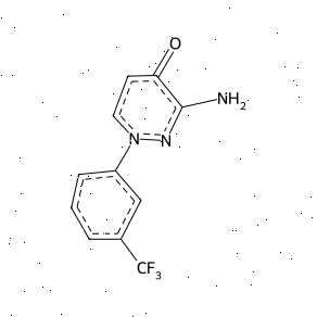 Nc1nn(-c2cccc(C(F)(F)F)c2)ccc1=O